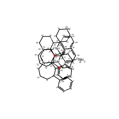 CCCC1C(c2ccccc2)CCCN2CCCC(c3ccccc3)C12N1CCC([15NH2])CC1[15N](C1CCNCC1)C12C(c3ccccc3)CCCN1CCCC(c1ccccc1)C2CCC